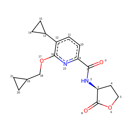 O=C(N[C@H]1CCOC1=O)c1ccc(C2CC2)c(OCC2CC2)n1